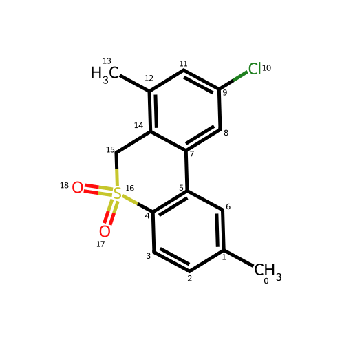 Cc1ccc2c(c1)-c1cc(Cl)cc(C)c1CS2(=O)=O